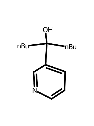 CCCCC(O)(CCCC)c1cccnc1